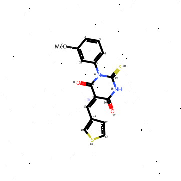 COc1cccc(N2C(=O)/C(=C/c3ccsc3)C(=O)NC2=S)c1